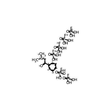 C[S+](C)CC(=O)c1ccccc1.O=P(O)(O)F.O=P(O)(O)F.O=P(O)(O)F.O=P(O)(O)F.O=P(O)(O)F.O=P(O)(O)F